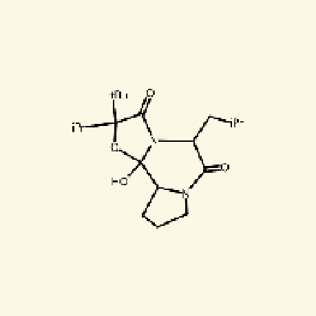 CC(C)CC1C(=O)N2CCCC2C2(O)OC(C(C)C)(C(C)(C)C)C(=O)N12